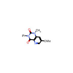 COc1cnc2c(=O)n(C(C)C)c(=O)n(C)c2c1